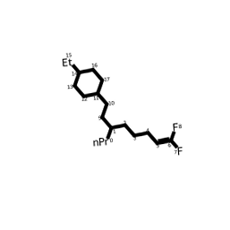 CCCC(CCCC=C(F)F)CCC1CCC(CC)CC1